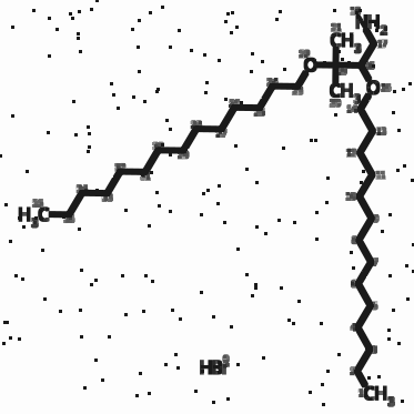 Br.CCCCCCCCCCCCCCOC(CN)C(C)(C)OCCCCCCCCCCCCCC